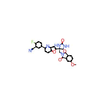 COc1ccc2c(c1)C(=O)N(C[C@@]1(c3cc4nc(-c5ccc(F)c(C#N)c5)ccc4o3)NC(=O)NC1=O)C2